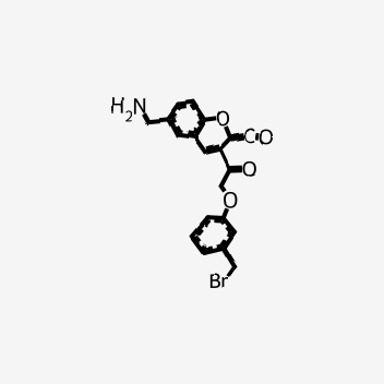 NCc1ccc2c(c1)C=C(C(=O)COc1cccc(CBr)c1)C(=C=O)O2